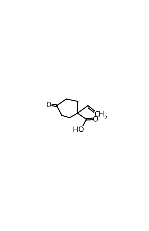 C=CC1(C(=O)O)CCC(=O)CC1